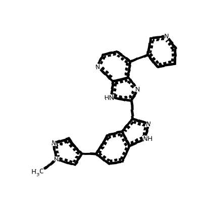 Cn1cc(-c2ccc3[nH]nc(-c4nc5c(-c6cccnc6)ccnc5[nH]4)c3c2)cn1